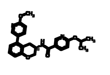 COc1ccc(-c2cccc3c2C[C@H](NC(=O)c2ccc(OC(C)C)nc2)CO3)cn1